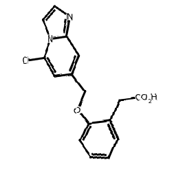 O=C(O)Cc1ccccc1OCc1cc(Cl)n2ccnc2c1